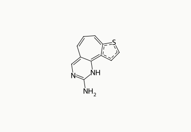 NC1=NC=C2C=CC=c3sccc3=C2N1